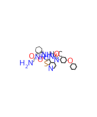 Cc1cc(Oc2ccccc2)ccc1N1C(=O)Nc2c(C(=O)N[C@@H]3CCCC[C@H]3NC(=O)CN)sc3nccc1c23